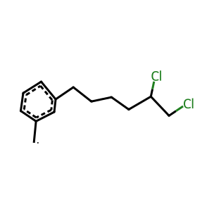 [CH2]c1cccc(CCCCC(Cl)CCl)c1